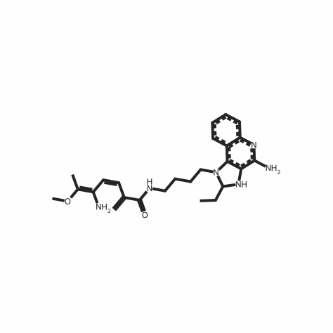 C=C(/C=C\C(N)=C(/C)OC)C(=O)NCCCCN1c2c(c(N)nc3ccccc23)NC1CC